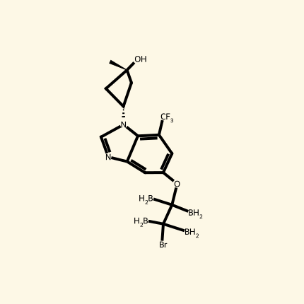 BC(B)(Br)C(B)(B)Oc1cc(C(F)(F)F)c2c(c1)ncn2[C@H]1C[C@@](C)(O)C1